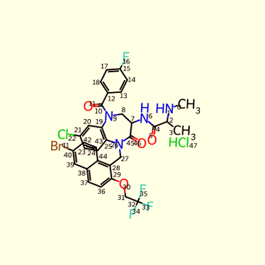 CNC(C)C(=O)NC1CN(C(=O)c2ccc(F)cc2)c2cc(Cl)ccc2N(Cc2c(OCC(F)(F)F)ccc3cc(Br)ccc23)C1=O.Cl